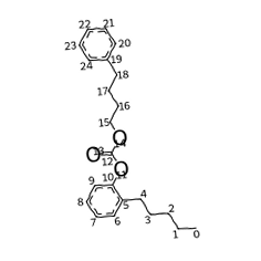 CCCCCc1ccccc1OC(=O)OCCCCc1ccccc1